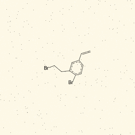 C=Cc1ccc(Br)c(CCBr)c1